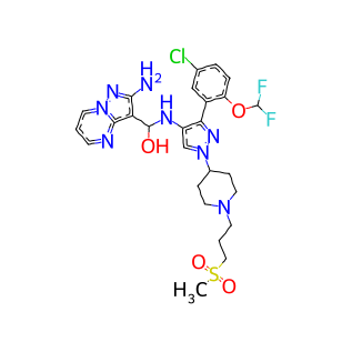 CS(=O)(=O)CCCN1CCC(n2cc(NC(O)c3c(N)nn4cccnc34)c(-c3cc(Cl)ccc3OC(F)F)n2)CC1